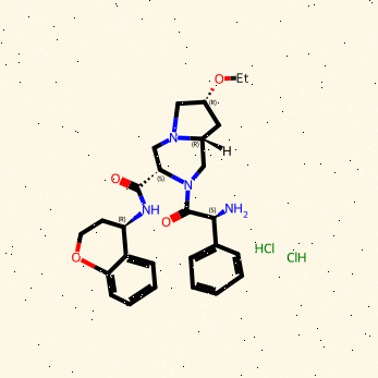 CCO[C@@H]1C[C@@H]2CN(C(=O)[C@@H](N)c3ccccc3)[C@H](C(=O)N[C@@H]3CCOc4ccccc43)CN2C1.Cl.Cl